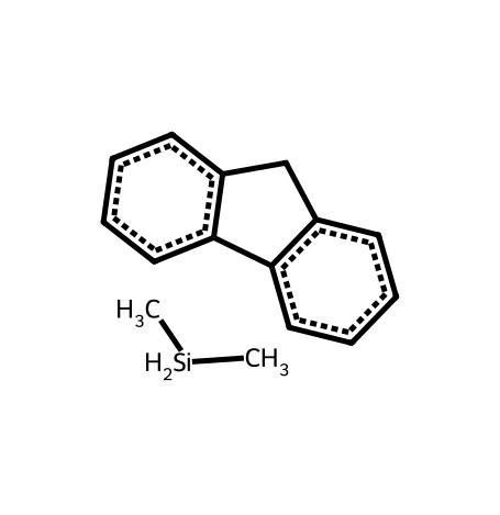 C[SiH2]C.c1ccc2c(c1)Cc1ccccc1-2